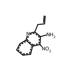 C=CCc1nc2ccccc2c([N+](=O)[O-])c1N